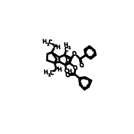 CPC12CCC(PC)(C1)C1C2C2(C)OC1(C)C(OC(=O)c1ccccc1)C2OC(=O)c1ccccc1